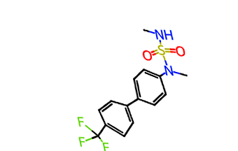 CNS(=O)(=O)N(C)c1ccc(-c2ccc(C(F)(F)F)cc2)cc1